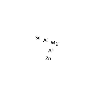 [Al].[Al].[Mg].[Si].[Zn]